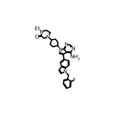 CCN1CCN(C2CCC(n3cc(-c4ccc5c(ccn5Cc5ccccc5F)c4)c4c(N)ncnc43)CC2)CC1=O